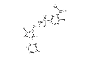 Cc1ccc(S(=O)(=O)NCCc2nc(-c3ccccc3)oc2C)cc1C(=O)O